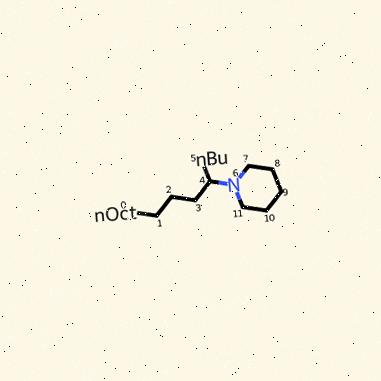 CCCCCCCCCCCC(CCCC)N1CCCCC1